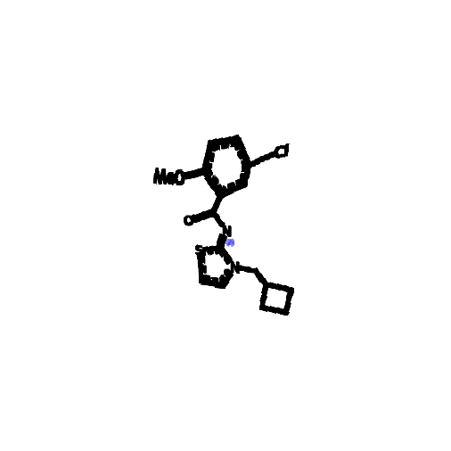 COc1ccc(Cl)cc1C(=O)/N=c1\sccn1CC1CCC1